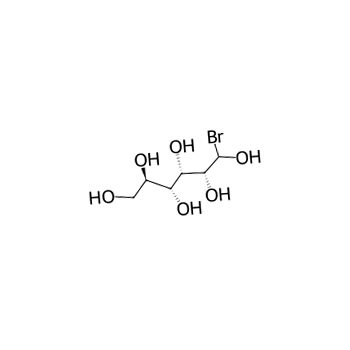 OC[C@@H](O)[C@@H](O)[C@H](O)[C@@H](O)C(O)Br